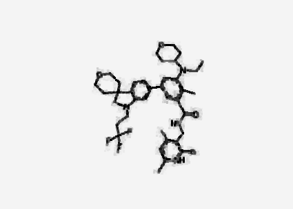 CCN(c1cc(-c2ccc3c(c2)N(CCC(F)(F)F)CC32CCOCC2)cc(C(=O)NCc2c(C)cc(C)[nH]c2=O)c1C)C1CCOCC1